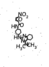 CN(C)c1nc(NC2CCC(NC(=O)c3ccc([N+](=O)[O-])o3)CC2)nc2c1CCCC2